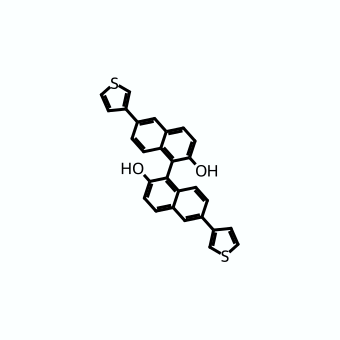 Oc1ccc2cc(-c3ccsc3)ccc2c1-c1c(O)ccc2cc(-c3ccsc3)ccc12